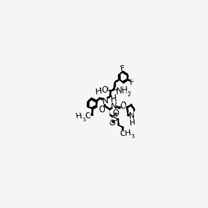 CCCCS(=O)(=O)C[C@@H](NCO[C@@H]1CCNC1)C(=O)N(Cc1cccc(CC)c1)C[C@@H](O)[C@@H](N)Cc1cc(F)cc(F)c1